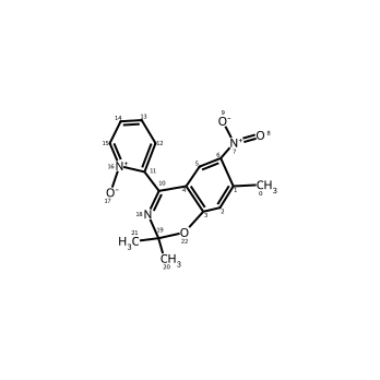 Cc1cc2c(cc1[N+](=O)[O-])C(c1cccc[n+]1[O-])=NC(C)(C)O2